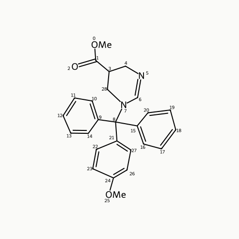 COC(=O)C1CN=CN(C(c2ccccc2)(c2ccccc2)c2ccc(OC)cc2)C1